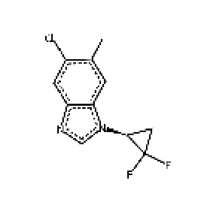 FC1(F)C[C@@H]1n1cnc2cc(Cl)c(I)cc21